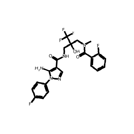 CN(CC(O)(CNC(=O)c1cnn(-c2ccc(F)cc2)c1N)C(F)(F)F)C(=O)c1ccccc1F